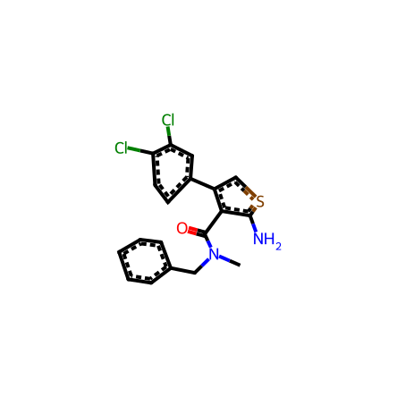 CN(Cc1ccccc1)C(=O)c1c(-c2ccc(Cl)c(Cl)c2)csc1N